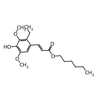 CCCCCCOC(=O)/C=C/c1cc(OC)c(O)c(OC)c1CC